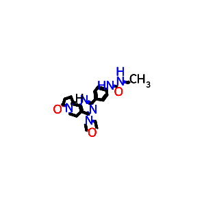 CCNC(=O)Nc1ccc(-c2nc3c(c(N4CCOCC4)n2)CCN2C(=O)CC[C@@H]32)cc1